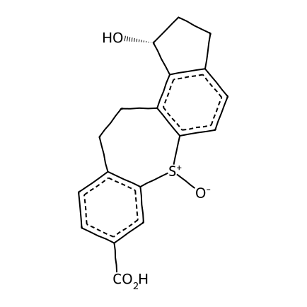 O=C(O)c1ccc2c(c1)[S+]([O-])c1ccc3c(c1CC2)[C@H](O)CC3